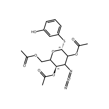 CC(=O)OCC1O[C@H](Sc2cccc(O)c2)C(OC(C)=O)C(N=[N+]=[N-])[C@H]1OC(C)=O